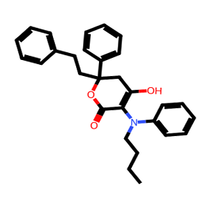 CCCCN(C1=C(O)CC(CCc2ccccc2)(c2ccccc2)OC1=O)c1ccccc1